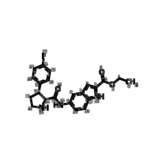 CCOC(=O)c1cc2cc(NC(=O)[C@H]3NCC[C@H]3c3ccc(F)cc3)ccc2[nH]1